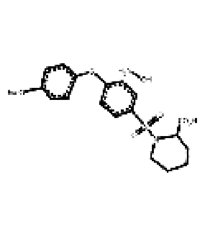 COc1ccc(Sc2ccc(S(=O)(=O)N3CCCCC3C(=O)O)cc2)cc1.NO